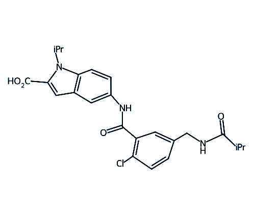 CC(C)C(=O)NCc1ccc(Cl)c(C(=O)Nc2ccc3c(c2)cc(C(=O)O)n3C(C)C)c1